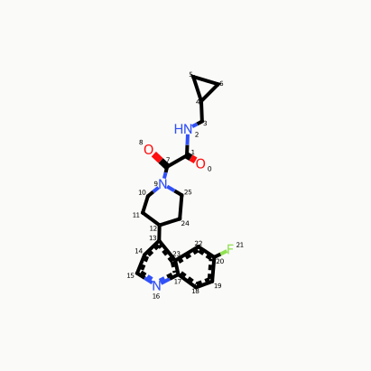 O=C(NCC1CC1)C(=O)N1CCC(c2ccnc3ccc(F)cc23)CC1